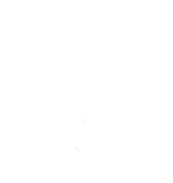 CCC(Oc1ccc(S(=O)(=O)c2ccc(C)nc2Nc2c(C)cc(C)cc2C)cc1)C(=O)OC